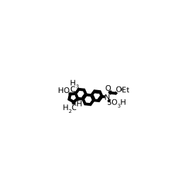 C=C1C[C@@H](O)[C@@]2(C)CCC3=C(CCc4cc(N(C(=O)COCC)S(=O)(=O)O)ccc43)[C@H]12